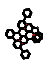 c1ccc(-c2ccc(-c3ccccc3N(c3ccc(-c4ccccc4)cc3)c3cccc(-c4ccccc4)c3-c3cccc4oc5ccccc5c34)cc2)cc1